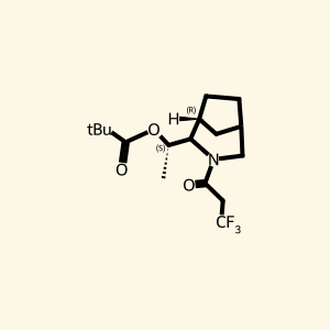 C[C@H](OC(=O)C(C)(C)C)C1[C@@H]2CCC(C2)CN1C(=O)CC(F)(F)F